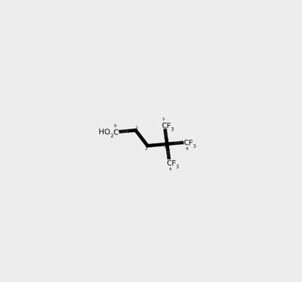 O=C(O)CCC(C(F)(F)F)(C(F)(F)F)C(F)(F)F